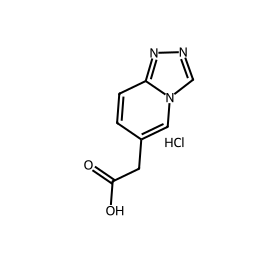 Cl.O=C(O)Cc1ccc2nncn2c1